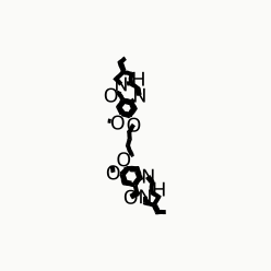 C/C=C1\C[C@H]2C=Nc3cc(OCCCCOc4cc5c(cc4OC)C(=O)N4C/C(=C/C)C[C@H]4C=N5)c(OC)cc3C(=O)N2C1